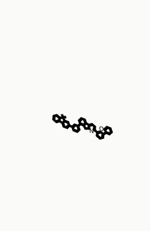 CC1(C)c2ccccc2-c2ccc(-c3cccc(-c4cccc5c4Cc4nc(-c6cccc7c6oc6ccccc67)ccc4-5)c3)cc21